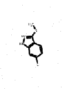 CSc1[13cH][nH]c2cc(Cl)ccc12